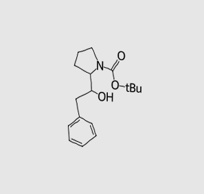 CC(C)(C)OC(=O)N1CCCC1C(O)Cc1ccccc1